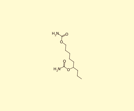 CCCC(CCCCCOC(N)=O)OC(N)=O